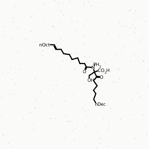 CCCCCCCCC=CCCCCCCCC(=O)N(P)C(CO)(C(=O)O)C(=O)CCCCCCCCCCCCCCC